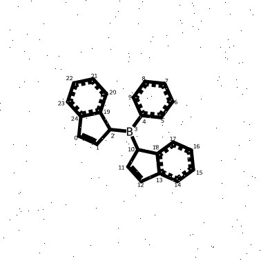 C1=CC(B(c2ccccc2)C2C=Cc3ccccc32)c2ccccc21